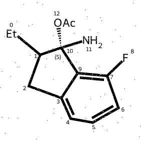 CCC1Cc2cccc(F)c2[C@@]1(N)OC(C)=O